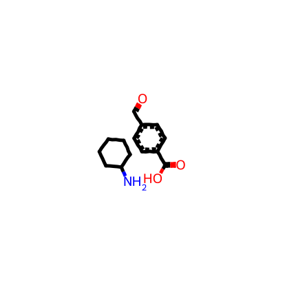 NC1CCCCC1.O=Cc1ccc(C(=O)O)cc1